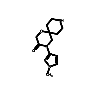 Cn1ccc(N2CC3(CCNCC3)OCC2=O)n1